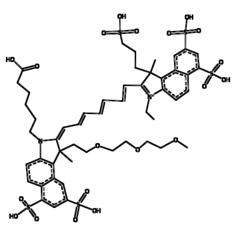 CC[N+]1=C(/C=C/C=C/C=C/C=C2/N(CCCCCC(=O)O)c3ccc4c(S(=O)(=O)O)cc(S(=O)(=O)O)cc4c3C2(C)CCOCCOCCOC)C(C)(CCCS(=O)(=O)O)c2c1ccc1c(S(=O)(=O)O)cc(S(=O)(=O)O)cc21